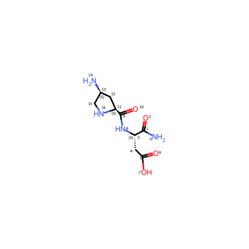 NC(=O)[C@H](CC(=O)O)NC(=O)[C@@H]1C[C@H](N)CN1